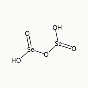 O=[Se](O)O[Se](=O)O